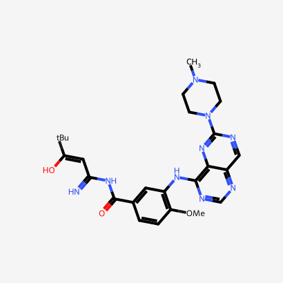 COc1ccc(C(=O)NC(=N)/C=C(\O)C(C)(C)C)cc1Nc1ncnc2cnc(N3CCN(C)CC3)nc12